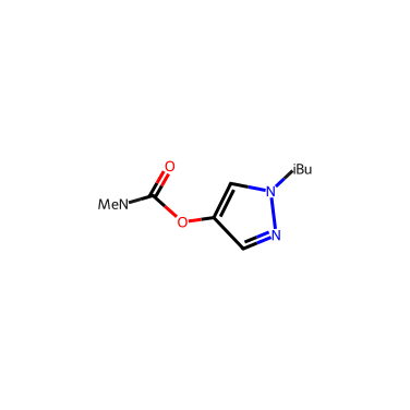 CCC(C)n1cc(OC(=O)NC)cn1